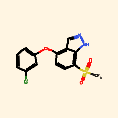 O=S(=O)(c1ccc(Oc2cccc(Cl)c2)c2cn[nH]c12)C(F)(F)F